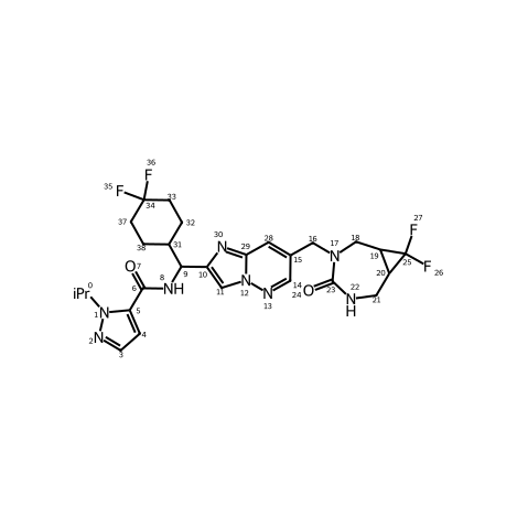 CC(C)n1nccc1C(=O)NC(c1cn2ncc(CN3CC4C(CNC3=O)C4(F)F)cc2n1)C1CCC(F)(F)CC1